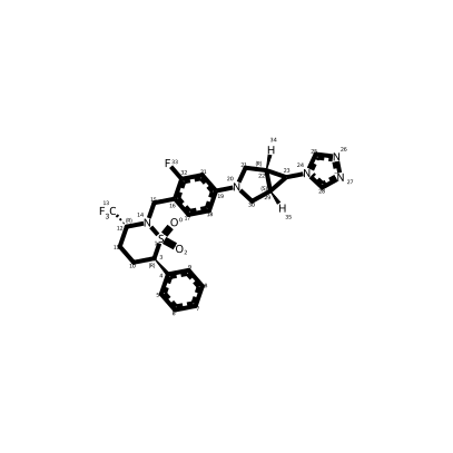 O=S1(=O)[C@@H](c2ccccc2)CC[C@H](C(F)(F)F)N1Cc1ccc(N2C[C@@H]3C(n4cnnc4)[C@@H]3C2)cc1F